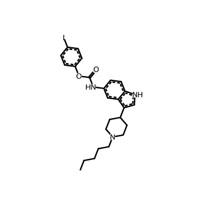 CCCCCN1CCC(c2c[nH]c3ccc(NC(=O)Oc4ccc(I)cc4)cc23)CC1